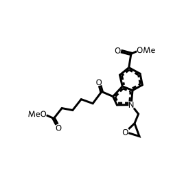 COC(=O)CCCCC(=O)c1cn(CC2CO2)c2ccc(C(=O)OC)cc12